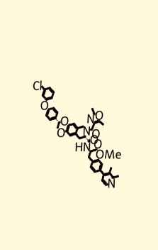 COC(=O)C(Cc1ccc(-c2ccnc(C)c2C)cc1)NC(=O)[C@@H]1Cc2cc3c(cc2CN1C(=O)c1nc(C)oc1C)O[C@@H](c1ccc(Oc2cccc(Cl)c2)cc1)CO3